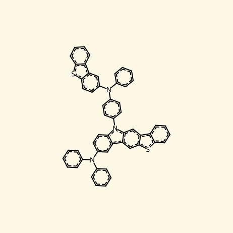 c1ccc(N(c2ccc(-n3c4ccc(N(c5ccccc5)c5ccccc5)cc4c4cc5sc6ccccc6c5cc43)cc2)c2ccc3sc4ccccc4c3c2)cc1